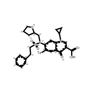 O=C(O)c1cn(C2CC2)c2cc(N(CC3CCCO3)S(=O)(=O)CCc3ccccc3)c(F)cc2c1=O